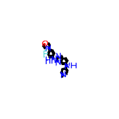 CN1CCC(Nc2ccc3cnc(Nc4ccc(N5CCOCC5)c(F)c4)nc3c2)CC1